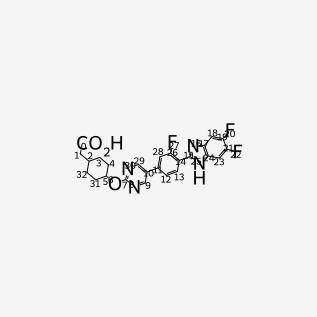 O=C(O)CC1CCC(Oc2ncc(-c3ccc(-c4nc5cc(F)c(F)cc5[nH]4)c(F)c3)cn2)CC1